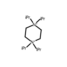 CC(C)[N+]1(C(C)C)CC[N+](C(C)C)(C(C)C)CC1